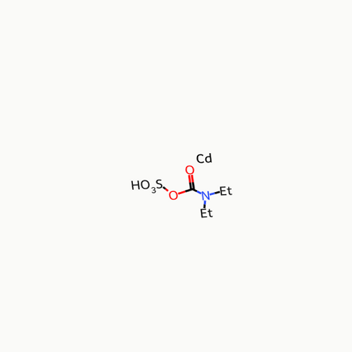 CCN(CC)C(=O)OS(=O)(=O)O.[Cd]